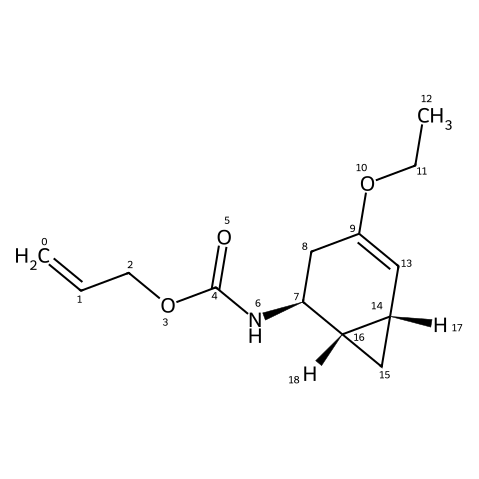 C=CCOC(=O)N[C@H]1CC(OCC)=C[C@@H]2C[C@@H]21